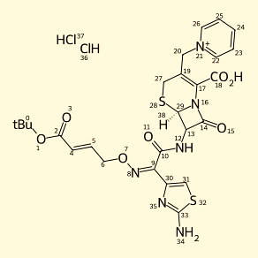 CC(C)(C)OC(=O)/C=C/CO/N=C(\C(=O)NC1C(=O)N2C(C(=O)O)=C(C[n+]3ccccc3)CS[C@H]12)c1csc(N)n1.Cl.Cl